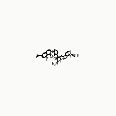 COc1cc(-c2cc3c(-c4cccc(-n5ccc6cc(C7CC7)cc(F)c6c5=O)c4CO)nc(N)nc3[nH]2)ccn1